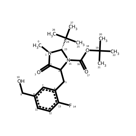 CN1C(=O)C(Cc2cc(CO)ccc2F)N(C(=O)OC(C)(C)C)[C@H]1C(C)(C)C